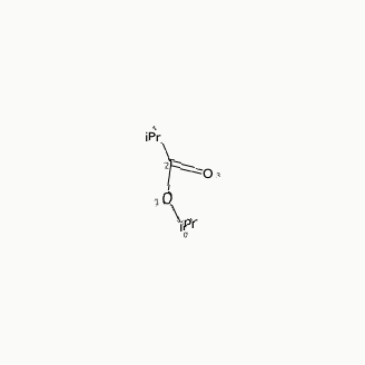 [CH2]C([CH2])OC(=O)C(C)C